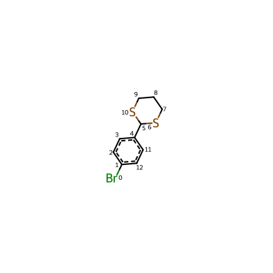 Brc1ccc(C2SCCCS2)cc1